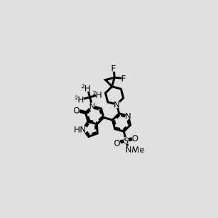 [2H]C([2H])([2H])n1cc(-c2cc(S(=O)(=O)NC)cnc2N2CCC3(CC2)CC3(F)F)c2cc[nH]c2c1=O